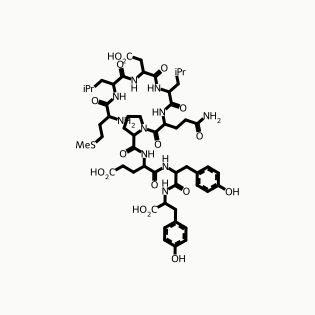 CSCCC(N)C(=O)NC(CC(C)C)C(=O)NC(CC(=O)O)C(=O)NC(CC(C)C)C(=O)NC(CCC(N)=O)C(=O)N1CCCC1C(=O)NC(CCC(=O)O)C(=O)NC(Cc1ccc(O)cc1)C(=O)NC(Cc1ccc(O)cc1)C(=O)O